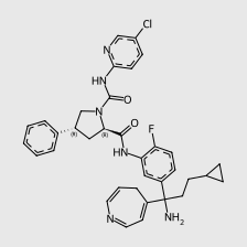 NC(CCC1CC1)(C1=CC=NC=CC1)c1ccc(F)c(NC(=O)[C@H]2C[C@H](c3ccccc3)CN2C(=O)Nc2ccc(Cl)cn2)c1